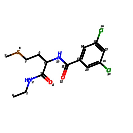 CCNC(=O)C(CCSC)NC(=O)c1cc(Cl)cc(Cl)c1